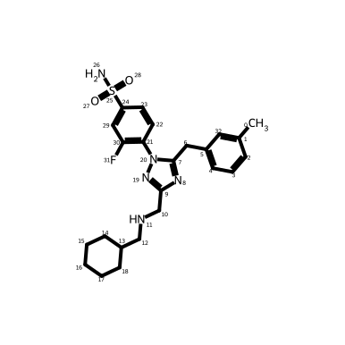 Cc1cccc(Cc2nc(CNCC3CCCCC3)nn2-c2ccc(S(N)(=O)=O)cc2F)c1